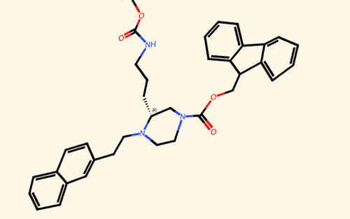 CC(C)(C)OC(=O)NCCC[C@@H]1CN(C(=O)OCC2c3ccccc3-c3ccccc32)CCN1CCc1ccc2ccccc2c1